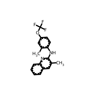 Cc1cc(OC(F)(F)F)ccc1Nc1nc2ccccc2cc1C